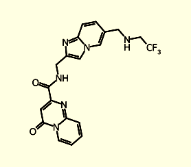 O=C(NCc1cn2cc(CNCC(F)(F)F)ccc2n1)c1cc(=O)n2ccccc2n1